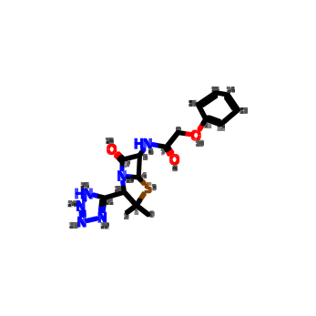 CC1(C)SC2C(NC(=O)COc3ccccc3)C(=O)N2C1c1nnn[nH]1